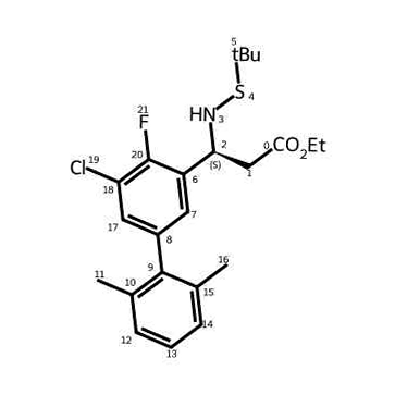 CCOC(=O)C[C@H](NSC(C)(C)C)c1cc(-c2c(C)cccc2C)cc(Cl)c1F